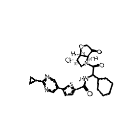 O=C(NC(C(=O)N1C[C@H](Cl)[C@H]2OCC(=O)[C@H]21)C1CCCCC1)c1ccc(-c2cnc(C3CC3)nc2)s1